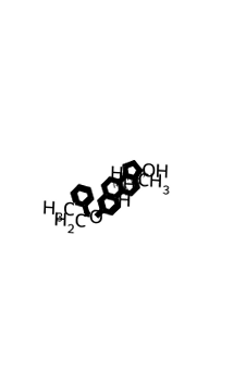 C=C(Oc1ccc2c(c1)CC[C@@H]1[C@@H]2CC[C@]2(C)[C@H](O)CC[C@@H]12)c1ccccc1C